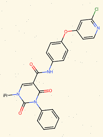 CC(C)n1cc(C(=O)Nc2ccc(Oc3ccnc(Cl)c3)cc2)c(=O)n(-c2ccccc2)c1=O